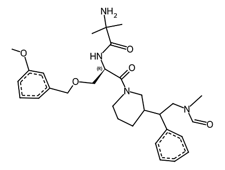 COc1cccc(COC[C@@H](NC(=O)C(C)(C)N)C(=O)N2CCCC(C(CN(C)C=O)c3ccccc3)C2)c1